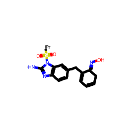 CC(C)S(=O)(=O)n1c([NH])nc2ccc(CC3=CC=CCC3=NO)cc21